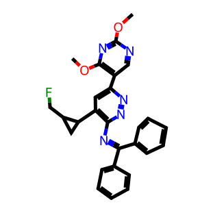 COc1ncc(-c2cc(C3CC3CF)c(N=C(c3ccccc3)c3ccccc3)nn2)c(OC)n1